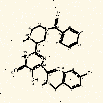 CN(Cc1ccc(F)cc1)C(=O)c1nc(C2CN(C(=O)c3ccccc3)CCN2C)[nH]c(=O)c1O